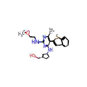 COCCNc1nc(C)c(-c2cc3ccccc3s2)c(N[C@H]2CC[C@@H](CO)C2)n1